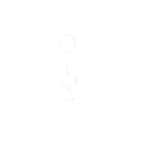 FC(F)(F)c1ccc(SCc2ccccc2)cc1